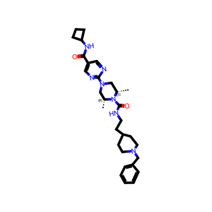 C[C@@H]1CN(c2ncc(C(=O)NC3CCC3)cn2)C[C@H](C)N1C(=O)NCCC1CCN(Cc2ccccc2)CC1